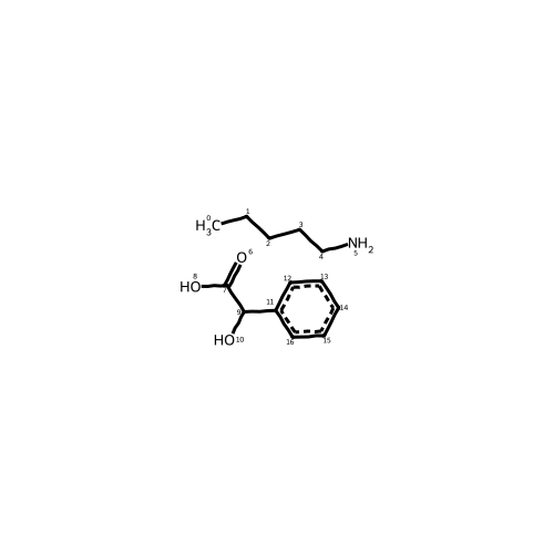 CCCCCN.O=C(O)C(O)c1ccccc1